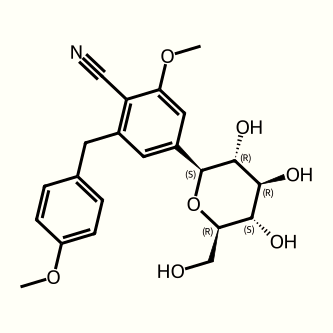 COc1ccc(Cc2cc([C@@H]3O[C@H](CO)[C@@H](O)[C@H](O)[C@H]3O)cc(OC)c2C#N)cc1